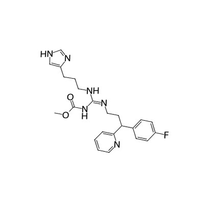 COC(=O)NC(=NCCC(c1ccc(F)cc1)c1ccccn1)NCCCc1c[nH]cn1